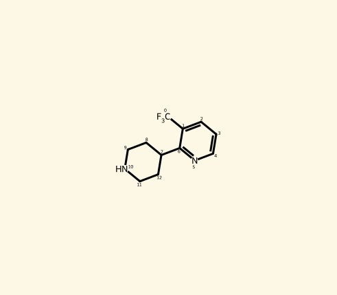 FC(F)(F)c1cccnc1C1CCNCC1